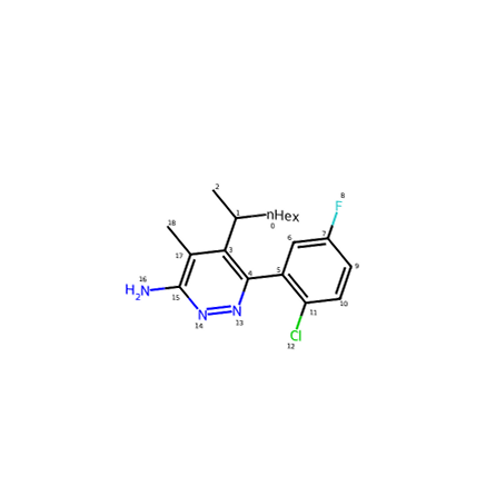 CCCCCCC(C)c1c(-c2cc(F)ccc2Cl)nnc(N)c1C